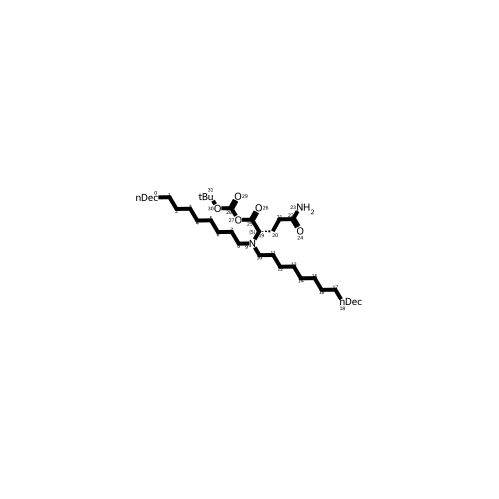 CCCCCCCCCCCCCCCCCCN(CCCCCCCCCCCCCCCCCC)[C@@H](CCC(N)=O)C(=O)OC(=O)OC(C)(C)C